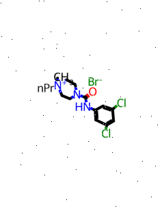 CCC[N+]1(C)CCN(C(=O)Nc2cc(Cl)cc(Cl)c2)CC1.[Br-]